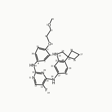 COCCOc1ccc(Nc2ncc(F)c(Nc3ccc4c(c3)NCC43CCC3)n2)cc1